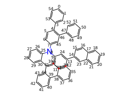 c1ccc(-c2ccc(N(c3cccc(-c4ccc5ccccc5c4)c3)c3ccccc3-c3cc4ccccc4c4ccccc34)cc2-c2ccccc2)cc1